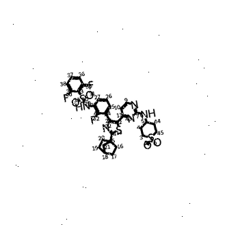 O=S1(=O)CCC(Nc2nccc(-c3sc(C45CCC(CC4)C5)nc3-c3cccc(NS(=O)(=O)c4c(F)cccc4F)c3F)n2)CC1